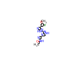 CCC(=O)Nc1cncc(-c2ccc3[nH]nc(-c4nc5c(-c6cc(F)cc(OC)c6)cncc5[nH]4)c3n2)c1